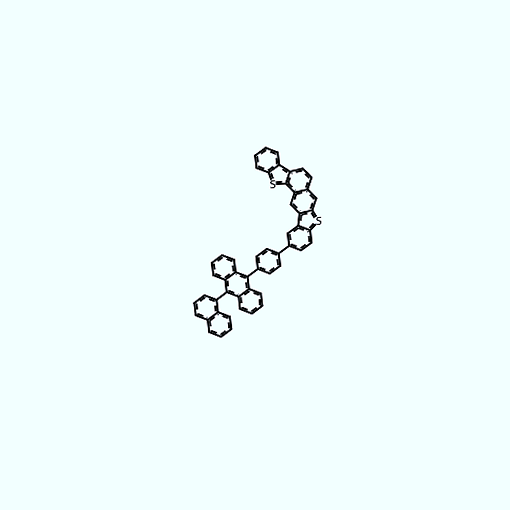 c1ccc2c(-c3c4ccccc4c(-c4ccc(-c5ccc6sc7cc8ccc9c%10ccccc%10sc9c8cc7c6c5)cc4)c4ccccc34)cccc2c1